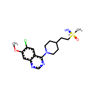 COc1cc2ncnc(N3CCC(CC[S@](C)(=N)=O)CC3)c2cc1Cl